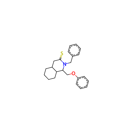 S=C1CC2CCCCC2C(COc2ccccc2)N1Cc1ccccc1